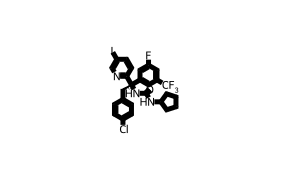 O=C(NC1CCCC1)N[C@@](Cc1ccc(Cl)cc1)(c1cc(F)cc(C(F)(F)F)c1)c1ccc(I)cn1